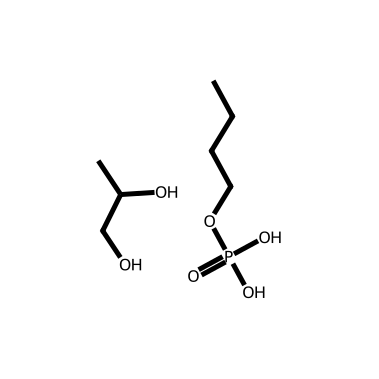 CC(O)CO.CCCCOP(=O)(O)O